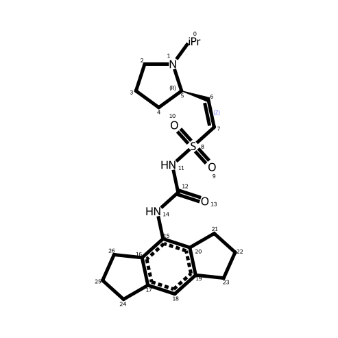 CC(C)N1CCC[C@@H]1/C=C\S(=O)(=O)NC(=O)Nc1c2c(cc3c1CCC3)CCC2